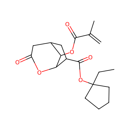 C=C(C)C(=O)OC1C2CC(=O)OC1C(C(=O)OC1(CC)CCCC1)C2